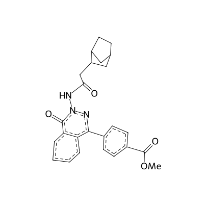 COC(=O)c1ccc(-c2nn(NC(=O)CC3CC4CCC3C4)c(=O)c3ccccc23)cc1